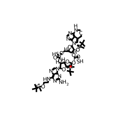 CC(C)(C)[Si](C)(C)CO[C@H]1[C@H]2OP(=O)(S)OC[C@H]3O[C@@H](n4cc5c6c(ncnc64)NCCC5)[C@H](O[Si](C)(C)C(C)(C)C)[C@@H]3OP(=O)(S)OC[C@H]1O[C@H]2n1cnc2c(NCCO[Si](C)(C)C(C)(C)C)nc(N)nc21